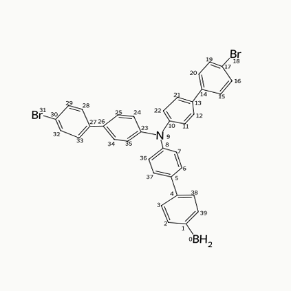 Bc1ccc(-c2ccc(N(c3ccc(-c4ccc(Br)cc4)cc3)c3ccc(-c4ccc(Br)cc4)cc3)cc2)cc1